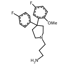 COc1ccc(F)cc1C1(c2ccc(F)cc2)CCN(CCCN)CC1